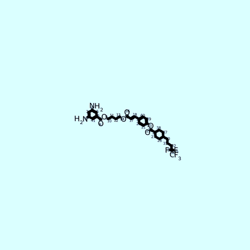 Nc1cc(N)cc(C(=O)OCCCCOC(=O)C=Cc2ccc(OC(=O)C3CCC(CCCC(F)(F)C(F)(F)F)CC3)cc2)c1